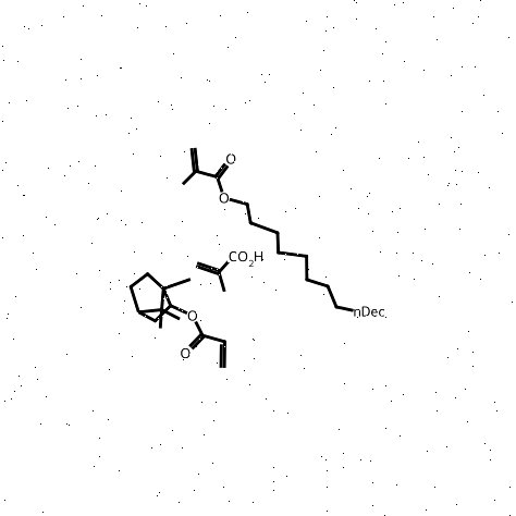 C=C(C)C(=O)O.C=C(C)C(=O)OCCCCCCCCCCCCCCCCCC.C=CC(=O)OC1CC2CCC1(C)C2(C)C